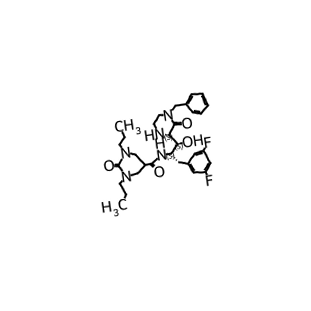 CCCN1CC(C(=O)N[C@@H](Cc2cc(F)cc(F)c2)[C@H](O)[C@@H]2NCCN(Cc3ccccc3)C2=O)CN(CCC)C1=O